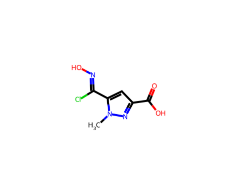 Cn1nc(C(=O)O)cc1C(Cl)=NO